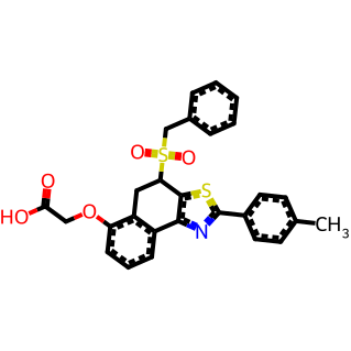 Cc1ccc(-c2nc3c(s2)C(S(=O)(=O)Cc2ccccc2)Cc2c(OCC(=O)O)cccc2-3)cc1